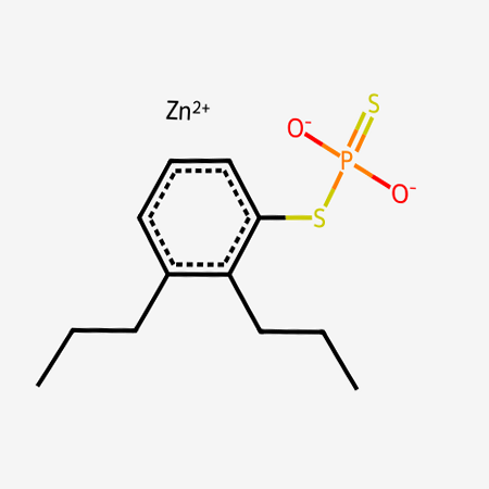 CCCc1cccc(SP([O-])([O-])=S)c1CCC.[Zn+2]